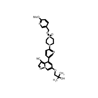 COc1ccc(CN=S2(=O)CCN(c3ccc(-c4cc(OCC(C)(C)O)cn5ncc(C#N)c45)cn3)CC2)cn1